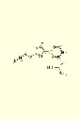 CC(C)Oc1cc(-c2nc(CN=[N+]=[N-])co2)ccn1